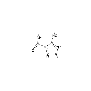 [NH]C(=O)c1[nH]cnc1[N+](=O)[O-]